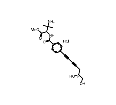 COC(=O)C(NC(=O)c1ccc(C#CC#CC[C@H](O)CO)cc1)C(C)(C)N.Cl